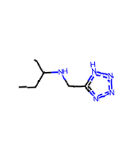 CCC(C)NCc1nnn[nH]1